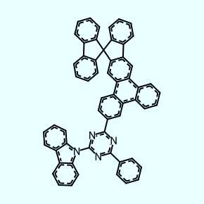 c1ccc(-c2nc(-c3ccc4c(c3)c3ccccc3c3cc5c(cc43)C3(c4ccccc4-c4ccccc43)c3ccccc3-5)nc(-n3c4ccccc4c4ccccc43)n2)cc1